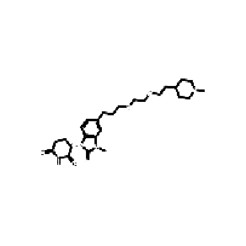 CN1CCC(CCOCCOCCCc2ccc3c(c2)n(C)c(=O)n3[C@H]2CCC(=O)NC2=O)CC1